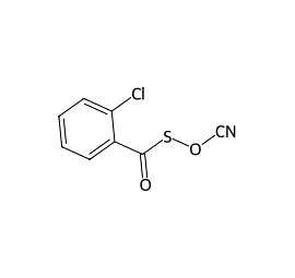 N#COSC(=O)c1ccccc1Cl